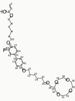 C=CC(O)OCCCCCCOc1ccc(-c2ccc(OCCCCCCOCC3COCCOCCOCCO3)cc2)cc1F